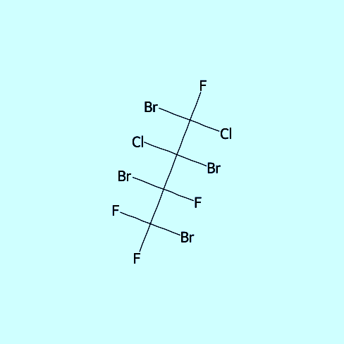 FC(F)(Br)C(F)(Br)C(Cl)(Br)C(F)(Cl)Br